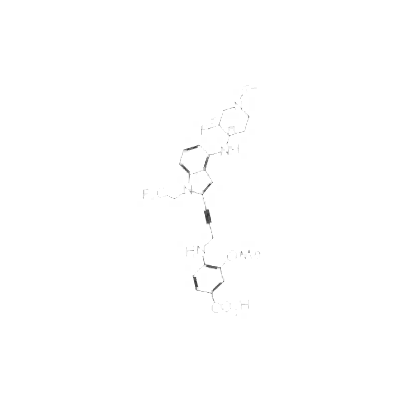 COc1cc(C(=O)O)ccc1NCC#Cc1cc2c(N[C@@H]3CCN(C(C)C)C[C@@H]3F)cccc2n1CC(F)(F)F